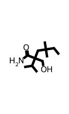 CCC(C)(C)CC(CO)(C(N)=O)C(C)C